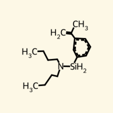 C=C(C)c1cccc([SiH2]N(CCCC)CCCC)c1